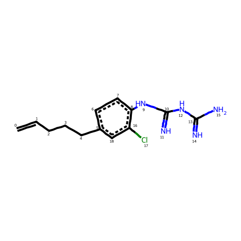 C=CCCCc1ccc(NC(=N)NC(=N)N)c(Cl)c1